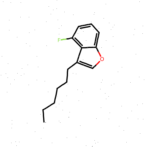 [CH2]CCCCCc1coc2cccc(F)c12